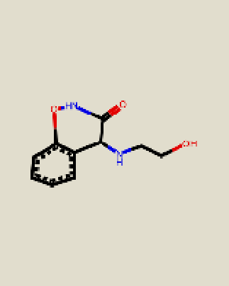 O=C1NOc2ccccc2C1NCCO